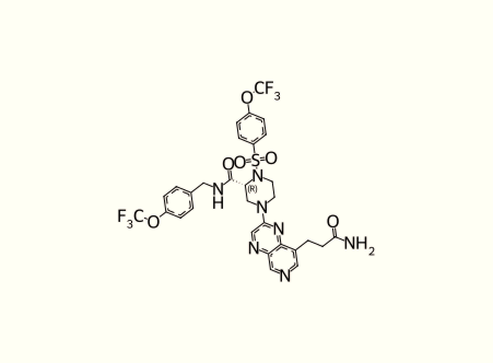 NC(=O)CCc1cncc2ncc(N3CCN(S(=O)(=O)c4ccc(OC(F)(F)F)cc4)[C@@H](C(=O)NCc4ccc(OC(F)(F)F)cc4)C3)nc12